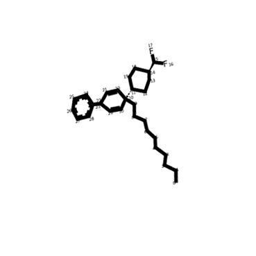 CCCCCCCCCCC1([C@H]2CC[C@H](C(F)F)CC2)C=CC(c2ccccc2)C=C1